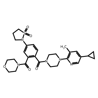 Cc1cc(C2CC2)cnc1N1CCN(C(=O)c2ccc(N3CCCS3(=O)=O)cc2C(=O)N2CCOCC2)CC1